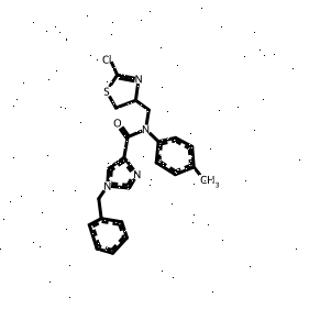 Cc1ccc(N(CC2CSC(Cl)=N2)C(=O)c2cn(Cc3ccccc3)cn2)cc1